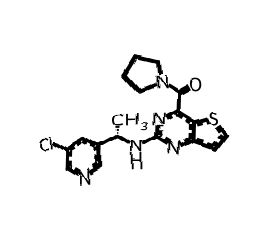 C[C@H](Nc1nc(C(=O)N2CCCC2)c2sccc2n1)c1cncc(Cl)c1